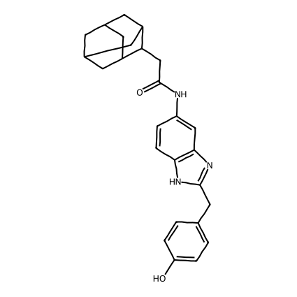 O=C(CC1C2CC3CC(C2)CC1C3)Nc1ccc2[nH]c(Cc3ccc(O)cc3)nc2c1